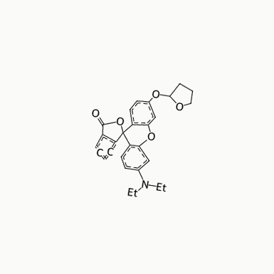 CCN(CC)c1ccc2c(c1)Oc1cc(OC3CCCO3)ccc1C21OC(=O)c2ccccc21